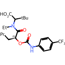 CCN(C(=O)[C@H](CC(C)C)OC(=O)Nc1ccc(C(F)(F)F)cc1)C(C(=O)O)C(C)(C)C